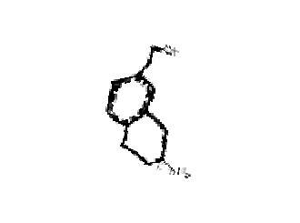 N[C@@H]1CCc2ccc(CO)cc2C1